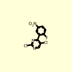 O=[N+]([O-])c1ccc(F)c(-c2nc(Cl)ncc2Cl)c1